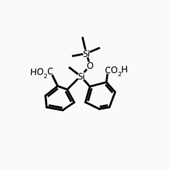 C[Si](C)(C)O[Si](C)(c1ccccc1C(=O)O)c1ccccc1C(=O)O